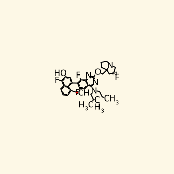 C#Cc1cccc2c(F)c(O)cc(-c3c(F)cc4c(N(CCC)CC(C)C)nc(OCC56CCCN5C[C@H](F)C6)nc4c3F)c12